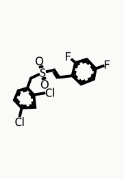 O=S(=O)(C=Cc1ccc(F)cc1F)Cc1ccc(Cl)cc1Cl